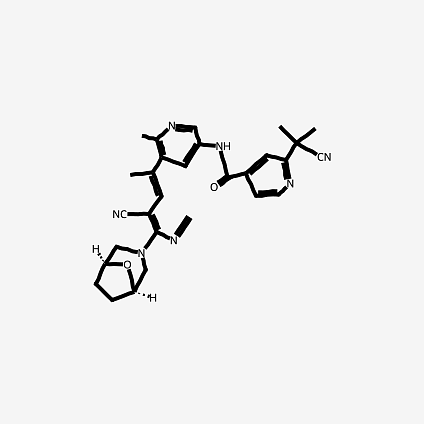 C=N/C(=C(C#N)\C=C(/C)c1cc(NC(=O)c2ccnc(C(C)(C)C#N)c2)cnc1C)N1C[C@H]2CC[C@@H](C1)O2